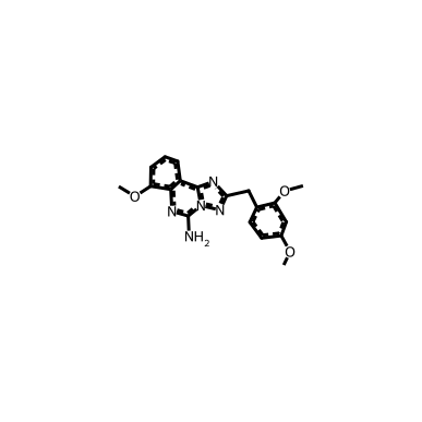 COc1ccc(Cc2nc3c4cccc(OC)c4nc(N)n3n2)c(OC)c1